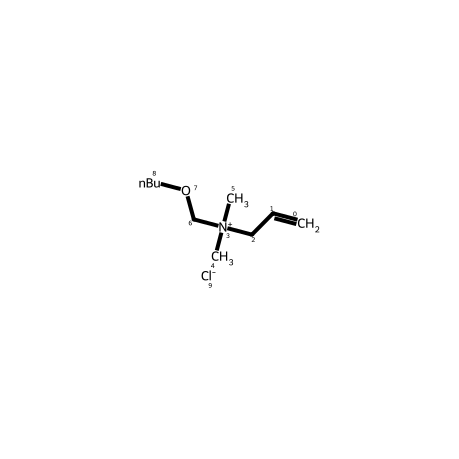 C=CC[N+](C)(C)COCCCC.[Cl-]